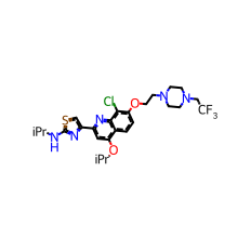 CC(C)Nc1nc(-c2cc(OC(C)C)c3ccc(OCCN4CCN(CC(F)(F)F)CC4)c(Cl)c3n2)cs1